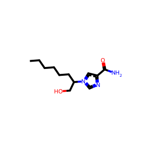 CCCCCCC(CO)n1cnc(C(N)=O)c1